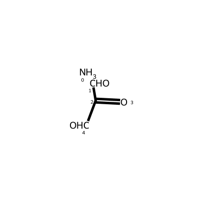 N.O=CC(=O)C=O